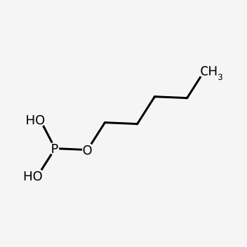 CCCCCOP(O)O